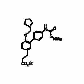 CCOC(=O)CCc1ccc(OCC2CCCC2)c(-c2ccc(NC(=O)SNC)cc2)c1